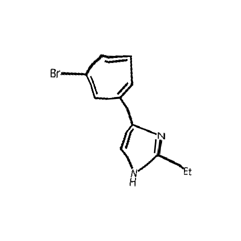 CCc1nc(-c2cccc(Br)c2)c[nH]1